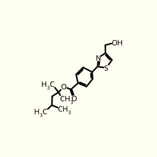 CC(C)CC(C)(C)OC(=O)c1ccc(-c2nc(CO)cs2)cc1